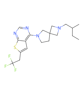 CCC(C)CN1CC2(CCN(c3ncnc4sc(CC(F)(F)F)cc34)C2)C1